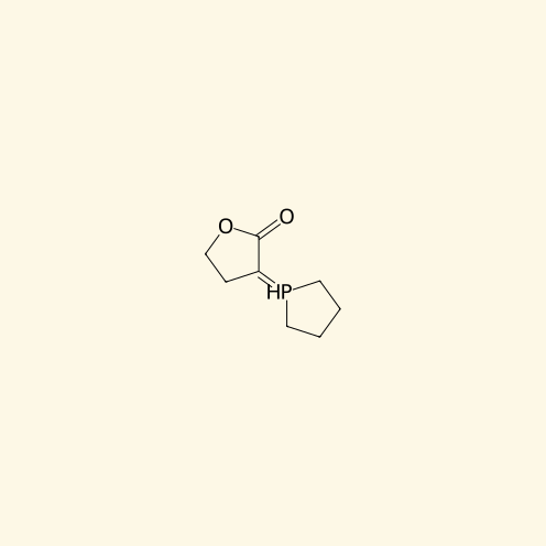 O=C1OCCC1=[PH]1CCCC1